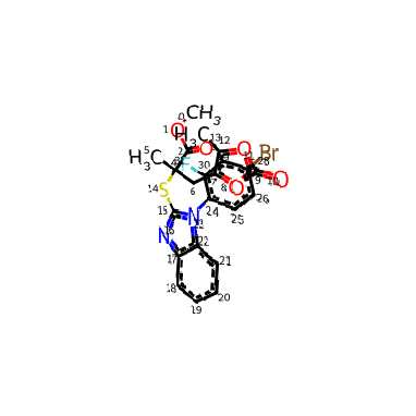 COC(=O)C(C)(Cc1oc(=O)oc1C)Sc1nc2ccccc2n1-c1ccc(Br)cc1F